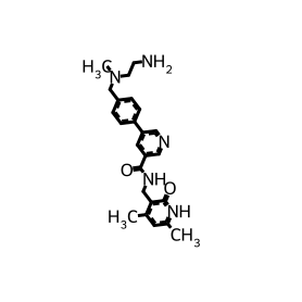 Cc1cc(C)c(CNC(=O)c2cncc(-c3ccc(CN(C)CCN)cc3)c2)c(=O)[nH]1